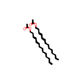 CCCCCCCCC=CC=CCCOC(C)=O.CCCCCCCCC=CC=CCCOC(C)=O